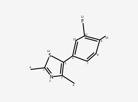 Cc1nc(C)c(-c2ccc(C)c(F)c2)s1